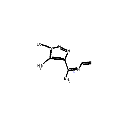 C=C/N=C(/N)c1nnn(CC)c1N